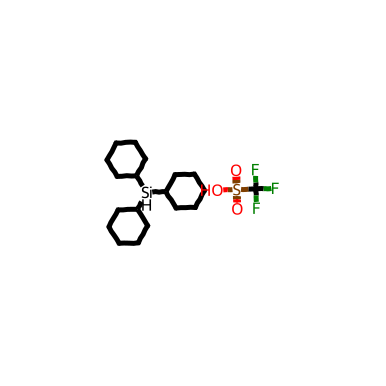 C1CCC([SiH](C2CCCCC2)C2CCCCC2)CC1.O=S(=O)(O)C(F)(F)F